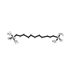 C[Si](C)(Cl)CCCCCCCCCCC[Si](C)(C)Cl